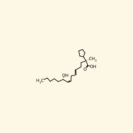 CCCCC[C@H](O)/C=C\C/C=C/CC[C@](C)(C(=O)O)C1CCCC1